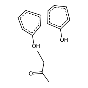 CCC(C)=O.Oc1ccccc1.Oc1ccccc1